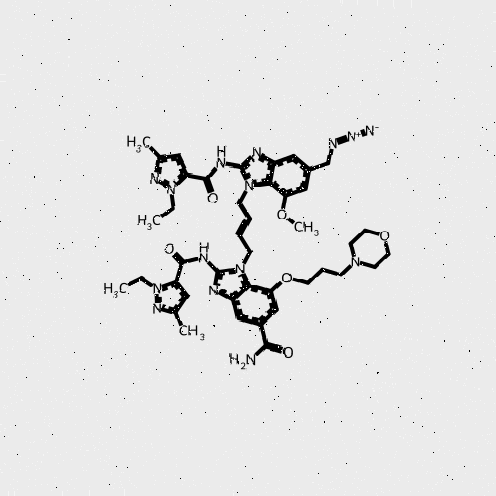 CCn1nc(C)cc1C(=O)Nc1nc2cc(CN=[N+]=[N-])cc(OC)c2n1C/C=C/Cn1c(NC(=O)c2cc(C)nn2CC)nc2cc(C(N)=O)cc(OCCCN3CCOCC3)c21